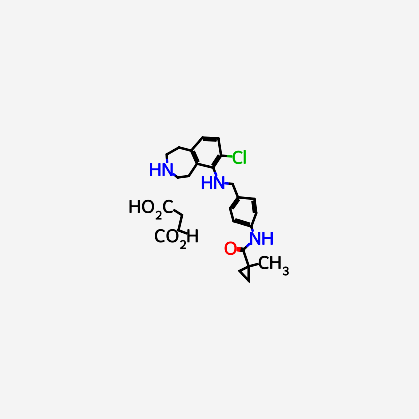 CC1(C(=O)Nc2ccc(CNc3c(Cl)ccc4c3CCNCC4)cc2)CC1.O=C(O)CCC(=O)O